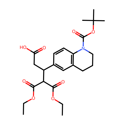 CCOC(=O)C(C(=O)OCC)C(CC(=O)O)c1ccc2c(c1)CCCN2C(=O)OC(C)(C)C